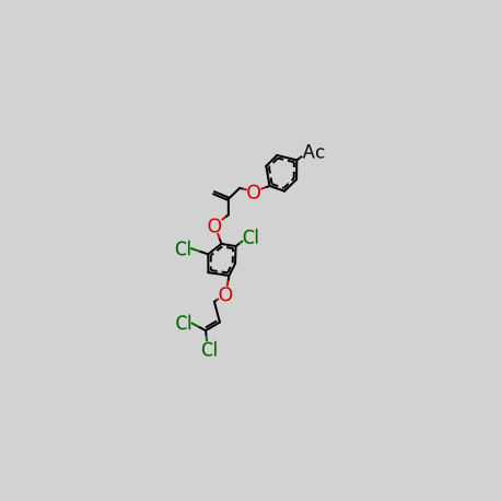 C=C(COc1ccc(C(C)=O)cc1)COc1c(Cl)cc(OCC=C(Cl)Cl)cc1Cl